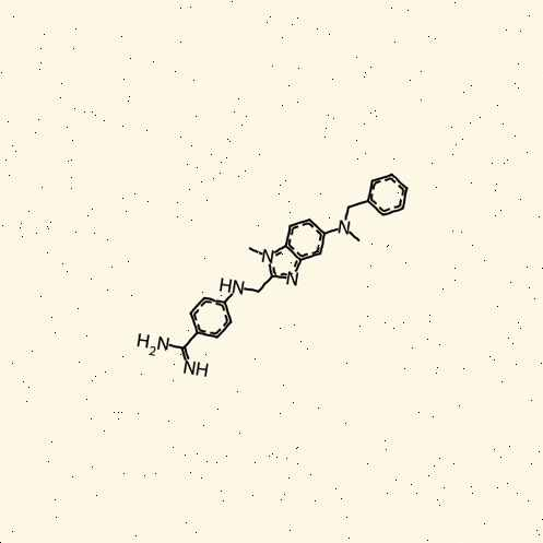 CN(Cc1ccccc1)c1ccc2c(c1)nc(CNc1ccc(C(=N)N)cc1)n2C